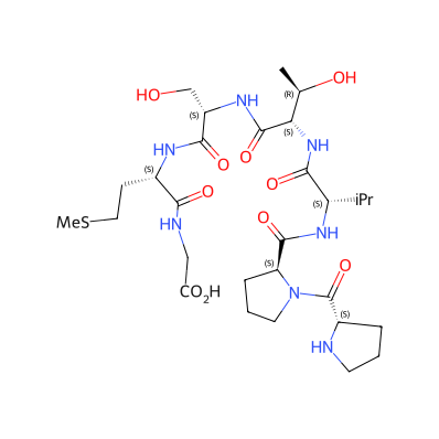 CSCC[C@H](NC(=O)[C@H](CO)NC(=O)[C@@H](NC(=O)[C@@H](NC(=O)[C@@H]1CCCN1C(=O)[C@@H]1CCCN1)C(C)C)[C@@H](C)O)C(=O)NCC(=O)O